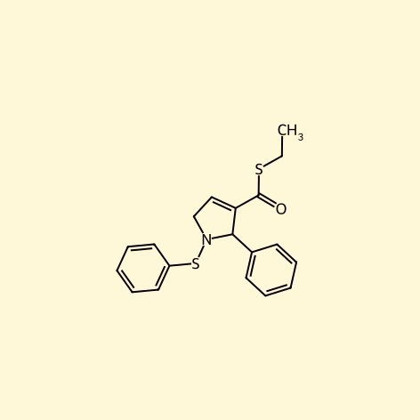 CCSC(=O)C1=CCN(Sc2ccccc2)C1c1ccccc1